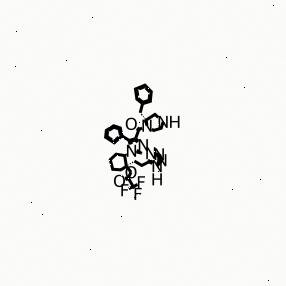 O=C(c1ncn([C@@H]2CCCC[C@]2(CCc2nnn[nH]2)OC(=O)C(F)(F)F)c1-c1ccccc1)N1CCNC[C@H]1Cc1ccccc1